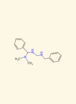 CN(C)C(NCNCc1ccccc1)c1ccccc1